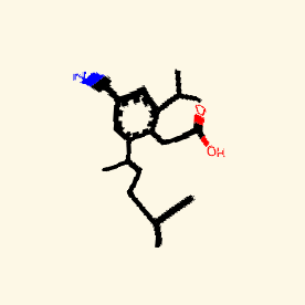 CC(C)CCC(C)c1cc(C#N)cc(C(C)C)c1CC(=O)O